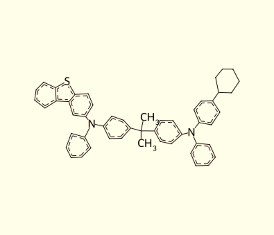 CC(C)(c1ccc(N(c2ccccc2)c2ccc(C3CCCCC3)cc2)cc1)c1ccc(N(c2ccccc2)c2ccc3sc4ccccc4c3c2)cc1